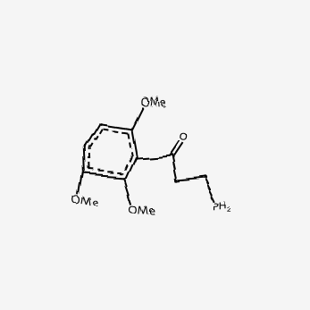 COc1ccc(OC)c(C(=O)CCP)c1OC